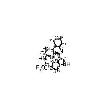 C[C@@H](Nc1nc(-c2c[nH]c3ncc(Cl)cc23)nc2ccccc12)C(=O)NCC(F)(F)F